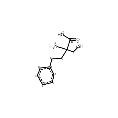 NC(CS)(CCc1ccccc1)C(=O)O